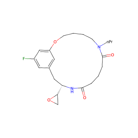 CCCN1CCCCOc2cc(F)cc(c2)C[C@@H](C2CO2)NC(=O)CCCC1=O